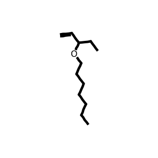 C=CC(CC)OCCCCCCC